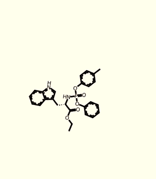 CCOC(=O)[C@H](Cc1c[nH]c2ccccc12)NP(=O)(Oc1ccccc1)Oc1ccc(C)cc1